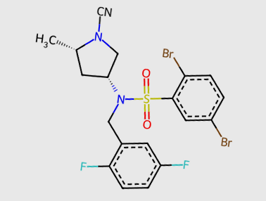 C[C@H]1C[C@@H](N(Cc2cc(F)ccc2F)S(=O)(=O)c2cc(Br)ccc2Br)CN1C#N